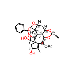 C=C[C@H]1O[C@H]2C[C@H]3OC[C@H]3[C@H]3[C@H](OC(=O)c4ccccc4)C4(C(C)(C)O)C[C@H](O)C(C)=C4[C@H](OC(C)=O)[C@H](O1)[C@@]32C